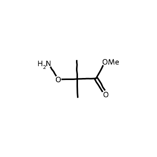 COC(=O)C(C)(C)ON